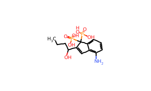 CCCC(O)C1=Cc2c(N)cccc2C1(P(=O)(O)O)P(=O)(O)O